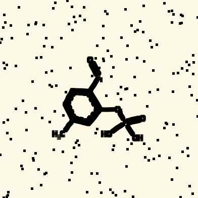 Cc1ccc(I=O)c(OP(=O)(O)O)c1